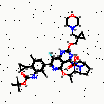 Cc1cc(-c2nc3c4c(nc(OCC5(CN6CCOCC6)CC5)nc4c2F)N2CC4CCC(C2C(C)O3)N4C(=O)O)c(C)c(NC(=O)OC(C)(C)C)c1C1CC1